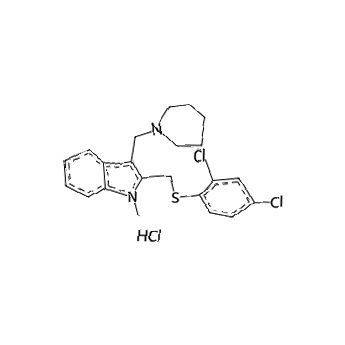 Cl.Cn1c(CSc2ccc(Cl)cc2Cl)c(CN2CCCCC2)c2ccccc21